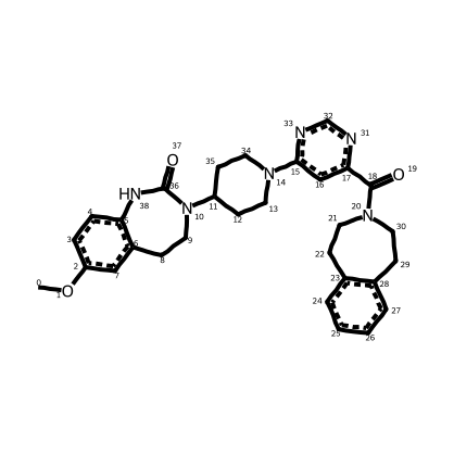 COc1ccc2c(c1)CCN(C1CCN(c3cc(C(=O)N4CCc5ccccc5CC4)ncn3)CC1)C(=O)N2